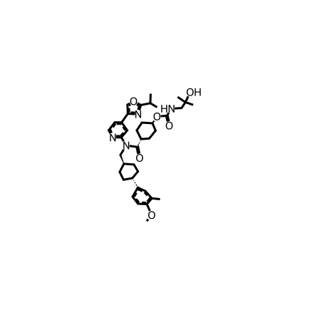 COc1ccc([C@H]2CC[C@H](CN(c3cc(-c4coc(C(C)C)n4)ccn3)C(=O)[C@H]3CC[C@H](OC(=O)NCC(C)(C)O)CC3)CC2)cc1C